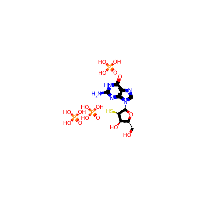 Nc1nc2c(ncn2[C@@H]2O[C@H](CO)[C@@H](O)[C@H]2S)c(=O)[nH]1.O=P(O)(O)O.O=P(O)(O)O.O=P(O)(O)O